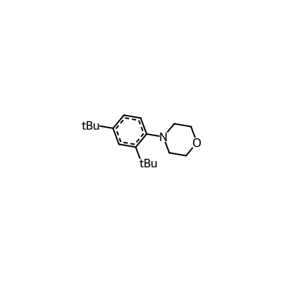 CC(C)(C)c1ccc(N2CCOCC2)c(C(C)(C)C)c1